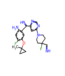 CC1(Oc2cc(C(=N)c3cc(N4CCC(F)(C=N)CC4)ncn3)c(N)cc2F)CC1